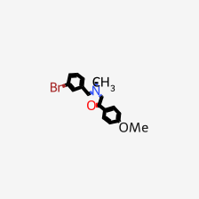 COc1ccc(C(=O)CN(C)Cc2cccc(Br)c2)cc1